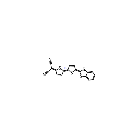 N#CC(C#N)=c1cc/c(=c2/ccc(=C3Sc4ccccc4S3)s2)s1